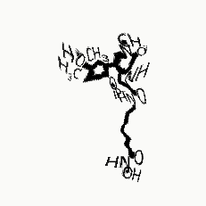 CC(C)Oc1ccc(C(C)(C)O)cc1-c1cn(C)c(=O)c2[nH]c(C(=O)NCCCCCCC(=O)NO)cc12